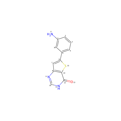 Nc1cccc(-c2cc3nc[nH]c(=O)c3s2)c1